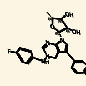 C[C@H]1O[C@@H](n2cc(-c3ccc(CN(C)C)cc3)c3c2N=CN(Nc2ccc(F)cc2)C3)[C@H](O)[C@@H]1O